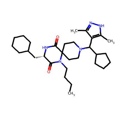 CCCCN1C(=O)[C@H](CC2CCCCC2)NC(=O)C12CCN(C(c1c(C)n[nH]c1C)C1CCCC1)CC2